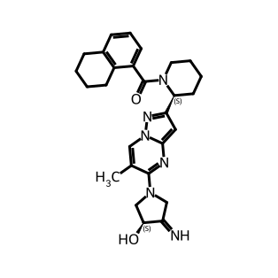 Cc1cn2nc([C@@H]3CCCCN3C(=O)c3cccc4c3CCCC4)cc2nc1N1CC(=N)[C@@H](O)C1